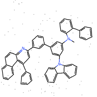 CN(c1cc(-c2cccc(-c3cc(-c4ccccc4)c4c(ccc5ccccc54)n3)c2)cc(-n2c3ccccc3c3ccccc32)c1)c1ccccc1-c1ccccc1